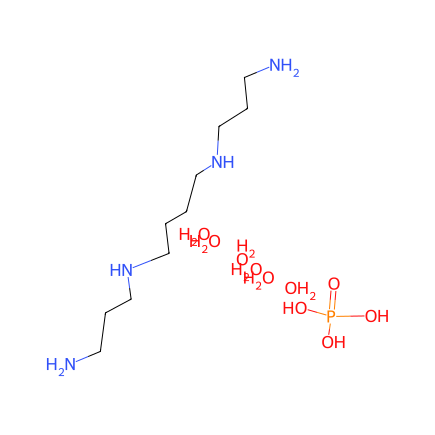 NCCCNCCCCNCCCN.O.O.O.O.O.O.O=P(O)(O)O